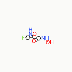 O=C1Nc2cc(F)ccc2C1=C1OCc2cc(NCCO)ccc21